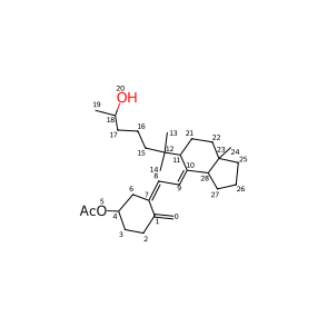 C=C1CCC(OC(C)=O)CC1=CC=C1C(C(C)(C)CCCC(C)O)CCC2(C)CCCC12